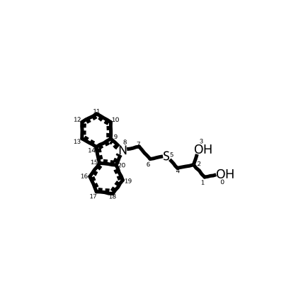 OCC(O)CSCCn1c2ccccc2c2ccccc21